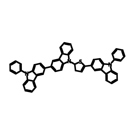 C1=C(c2ccc3c(c2)c2ccccc2n3-c2ccccc2)SC(n2c3ccccc3c3cc(-c4ccc5c(c4)c4ccccc4n5-c4ccccc4)ccc32)C1